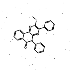 CSc1nc2c3ccccc3c(=O)n(-c3ccccc3)c2nc1-c1ccccc1